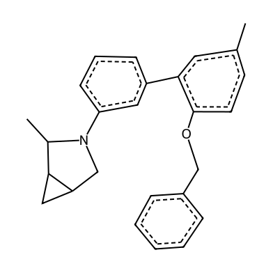 Cc1ccc(OCc2ccccc2)c(-c2cccc(N3CC4CC4C3C)c2)c1